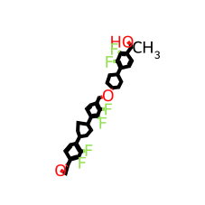 CC(O)c1ccc(C2CCC(OCc3ccc(C4CCC(c5ccc(C6CO6)c(F)c5F)CC4)c(F)c3F)CC2)c(F)c1F